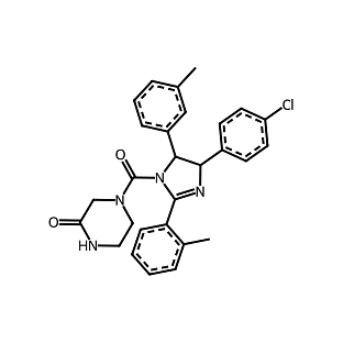 Cc1cccc(C2C(c3ccc(Cl)cc3)N=C(c3ccccc3C)N2C(=O)N2CCNC(=O)C2)c1